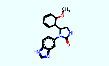 COC1C=CC=CC1C1CNC(=O)N1c1ccc2[nH]cnc2c1